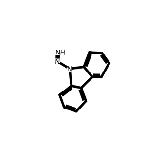 N=Nn1c2ccccc2c2ccccc21